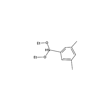 CCO[SiH](OCC)c1cc(C)cc(C)c1